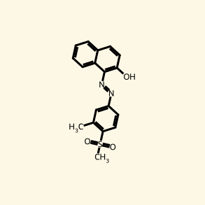 Cc1cc(/N=N/c2c(O)ccc3ccccc23)ccc1S(C)(=O)=O